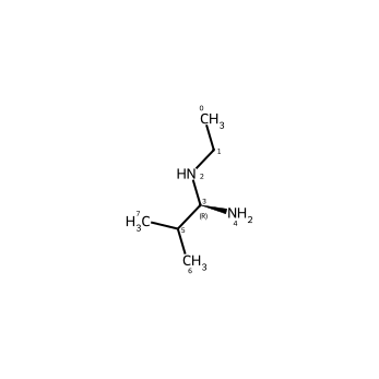 CCN[C@@H](N)C(C)C